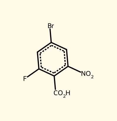 O=C(O)c1c(F)cc(Br)cc1[N+](=O)[O-]